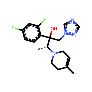 CC1=CCN([C@H](C)C(O)(Cn2cncn2)c2ccc(F)cc2F)CC1